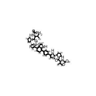 COC(=O)N[C@H](C(=O)N1CCC[C@H]1c1ncc(-c2ccc(-c3ccc(-c4cnc([C@@H]5CCCN5C(=O)[C@@H](NC(=O)P)C(C)C)[nH]4)c4cc[nH]c34)cc2)[nH]1)C(C)C